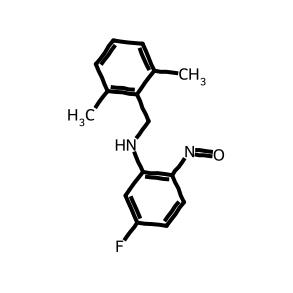 Cc1cccc(C)c1CNc1cc(F)ccc1N=O